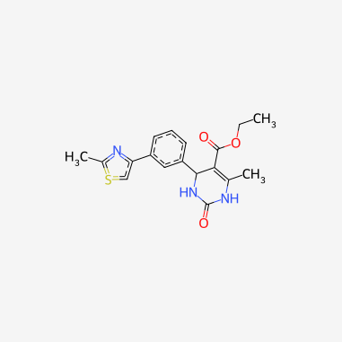 CCOC(=O)C1=C(C)NC(=O)NC1c1cccc(-c2csc(C)n2)c1